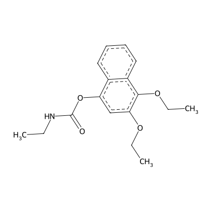 CCNC(=O)Oc1cc(OCC)c(OCC)c2ccccc12